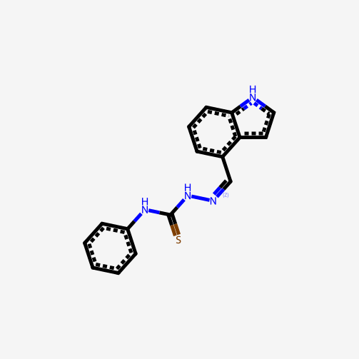 S=C(N/N=C\c1cccc2[nH]ccc12)Nc1ccccc1